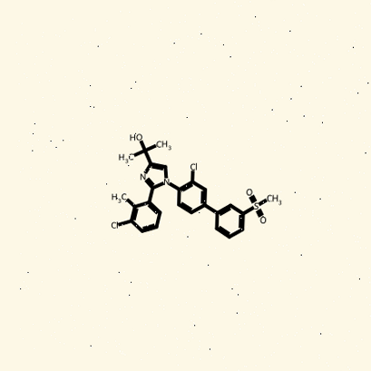 Cc1c(Cl)cccc1-c1nc(C(C)(C)O)cn1-c1ccc(-c2cccc(S(C)(=O)=O)c2)cc1Cl